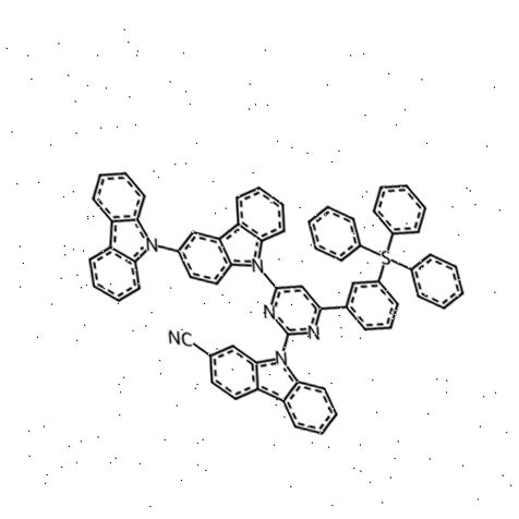 N#Cc1ccc2c3ccccc3n(-c3nc(-c4cccc(S(c5ccccc5)(c5ccccc5)c5ccccc5)c4)cc(-n4c5ccccc5c5cc(-n6c7ccccc7c7ccccc76)ccc54)n3)c2c1